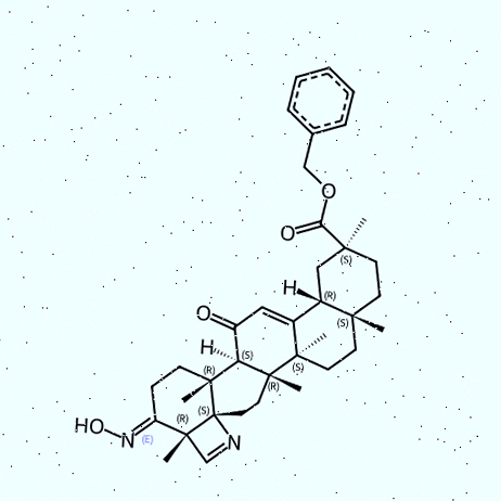 C[C@]1(C(=O)OCc2ccccc2)CC[C@]2(C)CC[C@]3(C)C(=CC(=O)[C@@H]4[C@@]5(C)CC/C(=N\O)[C@@]6(C)C=N[C@]65CC[C@]43C)[C@@H]2C1